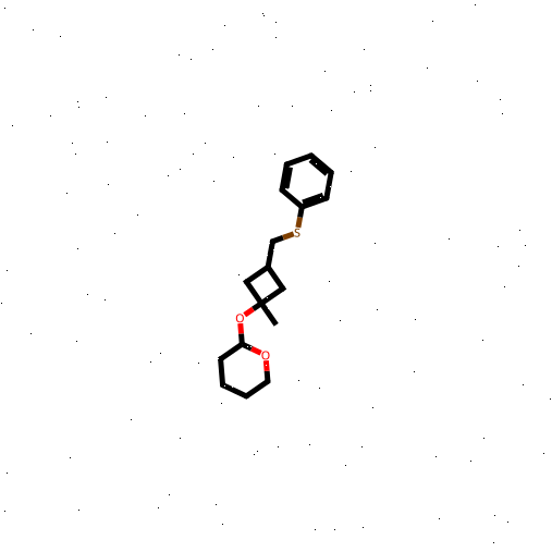 CC1(OC2CCCCO2)CC(CSc2ccccc2)C1